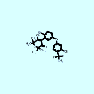 CCc1ccc(Oc2ccc(C(C)(F)F)c(C#N)c2)cc1C1=C(O)C(C)(C)OC(C)(C)C1=O